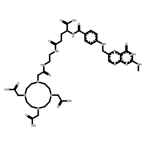 CNc1nc2ncc(CNc3ccc(C(=O)NC(CCC(=O)NCCNC(=O)CN4CCN(CC(=O)O)CCN(CC(=O)O)CCN(CC(=O)O)CC4)C(=O)O)cc3)nc2c(=O)[nH]1